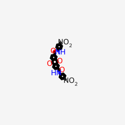 O=C(Nc1ccc([N+](=O)[O-])cc1)c1ccc2c(c1)C(=O)c1cc(C(=O)Nc3ccc([N+](=O)[O-])cc3)ccc1C2=O